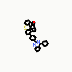 c1ccc(-c2nc(-c3ccc(-c4ccc5c(c4)C4(c6ccccc6S5)c5ccccc5-c5ccccc54)cc3)nc3ccccc23)cc1